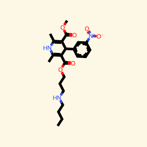 CCCCNCCCOC(=O)C1=C(C)NC(C)=C(C(=O)OC)C1c1cccc([N+](=O)[O-])c1